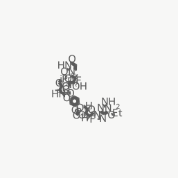 CCOc1nc(N)nc2c1ncn2[C@@H]1O[C@@H]2COP(=O)(Oc3cccc(OP(=O)(N[C@@H](C)C(=O)OC(C)C)OC[C@@]4(C)O[C@@H](n5ccc(=O)[nH]c5=O)[C@](C)(F)[C@@H]4O)c3)O[C@H]2[C@@]1(C)F